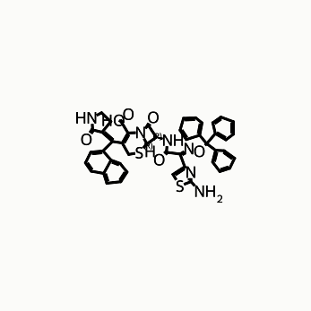 Nc1nc(C(=NOC(c2ccccc2)(c2ccccc2)c2ccccc2)C(=O)N[C@@H]2C(=O)N3C(C(=O)O)=C(C(=C4CCNC4=O)c4cccc5ccccc45)CS[C@H]23)cs1